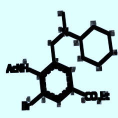 CCOC(=O)c1cc(Br)c(NC(C)=O)c(CN(C)C2CCCCC2)c1